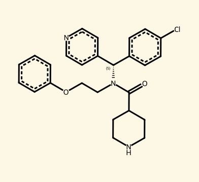 O=C(C1CCNCC1)N(CCOc1ccccc1)[C@H](c1ccncc1)c1ccc(Cl)cc1